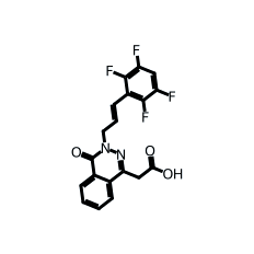 O=C(O)Cc1nn(CC=Cc2c(F)c(F)cc(F)c2F)c(=O)c2ccccc12